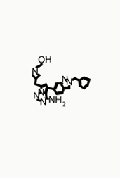 Nc1ncnn2c(CC3CN(CCO)C3)cc(-c3ccc4cn(Cc5ccccc5)nc4c3)c12